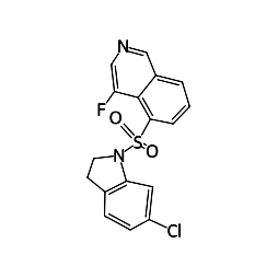 O=S(=O)(c1cccc2cncc(F)c12)N1CCc2ccc(Cl)cc21